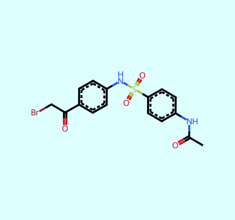 CC(=O)Nc1ccc(S(=O)(=O)Nc2ccc(C(=O)CBr)cc2)cc1